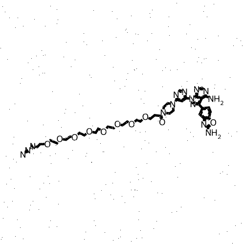 [N-]=[N+]=NCCOCCOCCOCCOCCOCCOCCOCCOCCC(=O)N1CCN(c2cc(-n3nc(-c4ccc5oc(N)nc5c4)c4c(N)ncnc43)ncn2)CC1